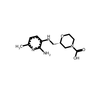 Cc1ccc(NC[C@H]2CN(C(=O)O)CCO2)c(N)n1